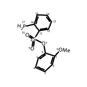 COc1ccccc1OS(=O)(=O)c1ccccc1P